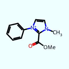 COC(=O)c1n(C)cc[n+]1-c1ccccc1